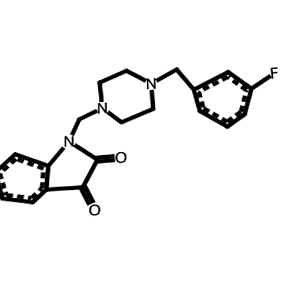 O=C1C(=O)N(CN2CCN(Cc3cccc(F)c3)CC2)c2ccccc21